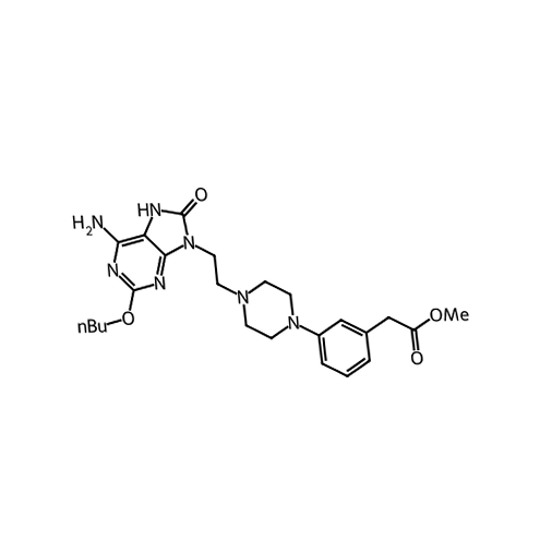 CCCCOc1nc(N)c2[nH]c(=O)n(CCN3CCN(c4cccc(CC(=O)OC)c4)CC3)c2n1